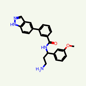 COc1cccc(C(CCN)NC(=O)c2cccc(-c3ccc4[nH]ncc4c3)c2)c1